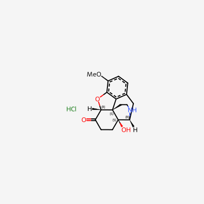 COc1ccc2c3c1O[C@H]1C(=O)CC[C@@]4(O)[C@@H](C2)NCC[C@]314.Cl